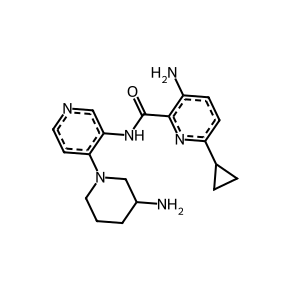 Nc1ccc(C2CC2)nc1C(=O)Nc1cnccc1N1CCCC(N)C1